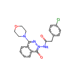 O=C(Cc1ccc(Cl)cc1)Nn1nc(N2CCOCC2)c2ccccc2c1=O